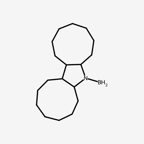 BN1C2CCCCCCCC2C2CCCCCCCC21